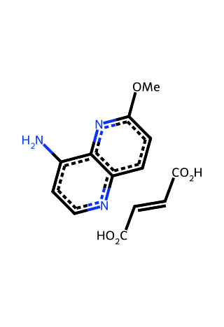 COc1ccc2nccc(N)c2n1.O=C(O)C=CC(=O)O